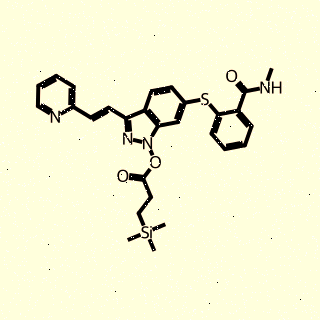 CNC(=O)c1ccccc1Sc1ccc2c(/C=C/c3ccccn3)nn(OC(=O)CC[Si](C)(C)C)c2c1